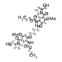 C=CCOC(=O)Nc1cc(C(=O)N2CCCC2CO)c(OC)cc1OCCCCCOc1cc(OC)c(C(=O)N2CCC[C@H]2CO)cc1NC(=O)OCC=C